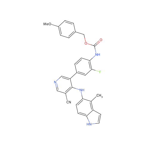 COc1ccc(COC(=O)Nc2ccc(-c3cncc(C#N)c3Nc3ccc4[nH]ccc4c3C)cc2F)cc1